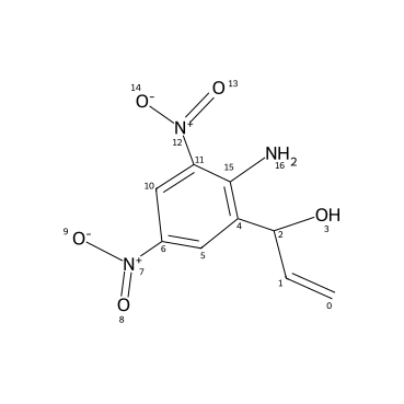 C=CC(O)c1cc([N+](=O)[O-])cc([N+](=O)[O-])c1N